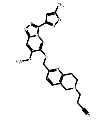 COc1cc2nnc(-c3cc(C)on3)n2nc1OCc1ccc2c(n1)CCN(CCC#N)C2